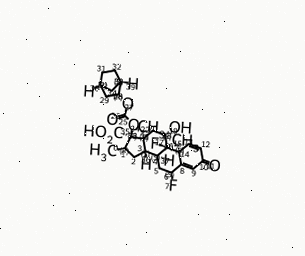 C[C@@H]1C[C@H]2[C@@H]3C[C@H](F)C4=CC(=O)C=C[C@]4(C)[C@@]3(F)[C@@H](O)C[C@]2(C)[C@@]1(OC(=O)O[C@@H]1C[C@@H]2CC[C@H]1C2)C(=O)O